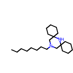 CCCCCCCCN1CC2(CCCCC2)NC2(CCCCC2)C1